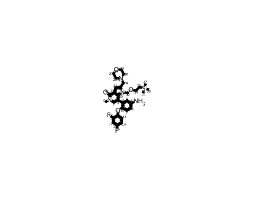 Cn1cc(-c2cc(N)ccc2Oc2ccc(F)cc2F)c2c(cc(CN3CCOCC3)n2COCC[Si](C)(C)C)c1=O